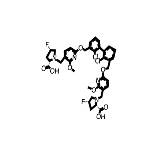 COc1nc(OCc2cccc(-c3cccc(COc4ccc(CN5C[C@@H](F)C[C@H]5C(=O)O)c(OC)n4)c3Cl)c2Cl)ccc1CN1C[C@@H](F)C[C@H]1C(=O)O